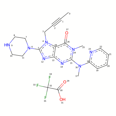 CC#CCn1c(N2CCNCC2)nc2nc(N(C)c3ccccn3)n(C)c(=O)c21.O=C(O)C(F)(F)F